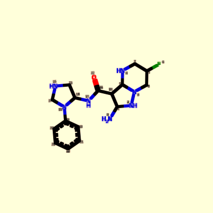 NC1NN2CC(F)CNC2C1C(=O)NC1CNCN1c1ccccc1